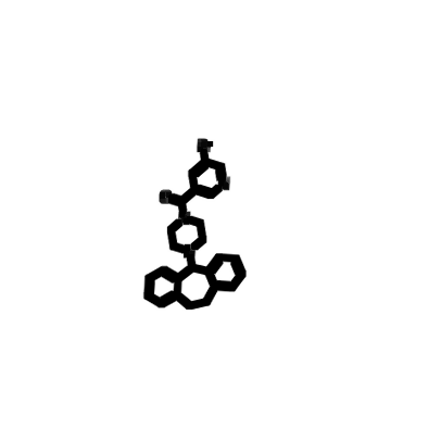 O=C(c1cncc(Br)c1)N1CCN(C2c3ccccc3CCc3ccccc32)CC1